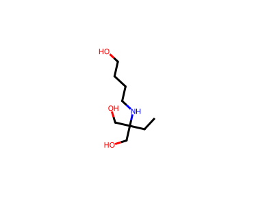 CCC(CO)(CO)NCCCCO